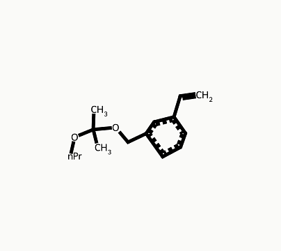 C=Cc1cccc(COC(C)(C)OCCC)c1